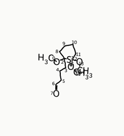 COC1(CCCC=O)CCCC[Si]1(OC)OC